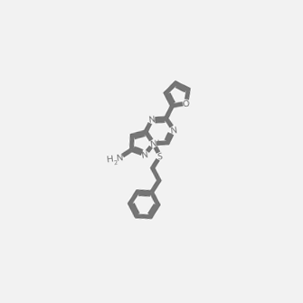 NC1=N[N+]2(SCCc3ccccc3)C=NC(c3ccco3)=NC2=C1